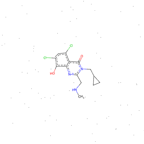 CNCc1nc2c(O)c(Cl)cc(Cl)c2c(=O)n1CC1CC1